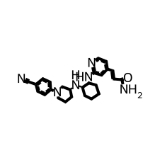 N#Cc1ccc(N2CCC[C@H](N[C@@H]3CCCC[C@H]3Nc3cc(C=CC(N)=O)ccn3)C2)cc1